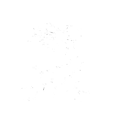 C=NC(CN)C[C@@H](CN(C)C)NC(=O)c1cc(-c2cccc(CN3O[C@@H](CO)[C@@H]([C@H](C)O)[C@H]3C(=O)N[C@H]3C[C@H]4C[C@@H]([C@@H]3C)C4(C)C)c2OC)cc(N(C)C)c1